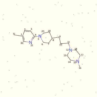 Cc1ccc(N2CCC(CCCN3CCN(C)CC3)CC2)nc1